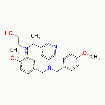 COc1ccc(CN(Cc2ccc(OC)cc2)c2cncc(C(C)NCCO)c2)cc1